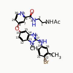 CC(=O)NCCNC(=O)c1cc(Oc2ccc3c(c2)nc(Nc2ccc(Br)c(C)c2)n3C)ccn1